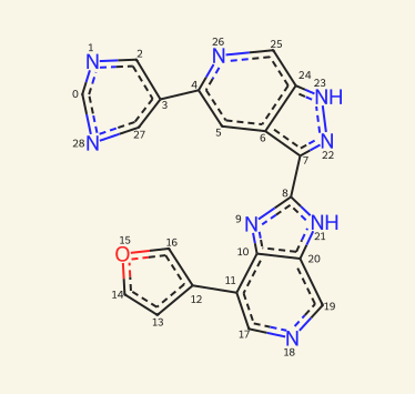 c1ncc(-c2cc3c(-c4nc5c(-c6ccoc6)cncc5[nH]4)n[nH]c3cn2)cn1